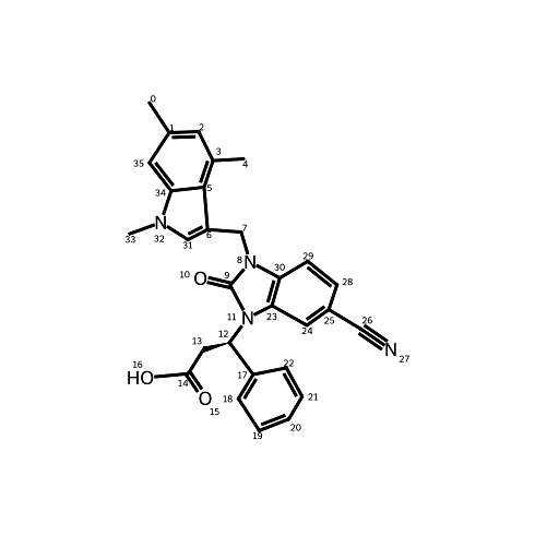 Cc1cc(C)c2c(Cn3c(=O)n([C@H](CC(=O)O)c4ccccc4)c4cc(C#N)ccc43)cn(C)c2c1